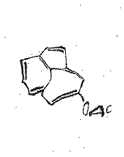 CC(=O)Oc1cc2c3c(cccc3c1)C=C2